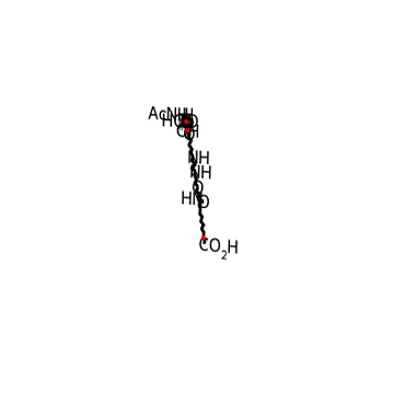 CC(=O)N[C@H]1[C@H]2OC[C@](COCCCCCNCCCNCCCOCCNC(=O)CCCCCCCCCCC(=O)O)(O2)[C@H](O)[C@@H]1O